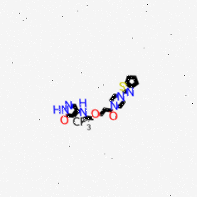 C[C@@H](COCCC(=O)N1CCN(c2nc3c(s2)CCC3)CC1)Nc1cn[nH]c(=O)c1C(F)(F)F